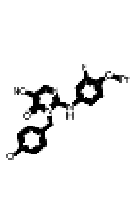 CC(C)Oc1ccc(Nc2ncc(C#N)c(=O)n2Cc2ccc(Cl)cc2)cc1F